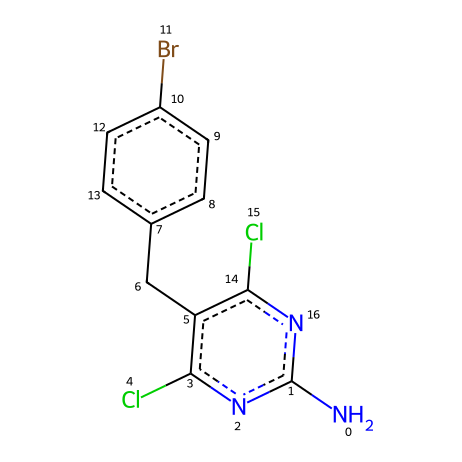 Nc1nc(Cl)c(Cc2ccc(Br)cc2)c(Cl)n1